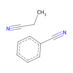 CCC#N.N#Cc1ccccc1